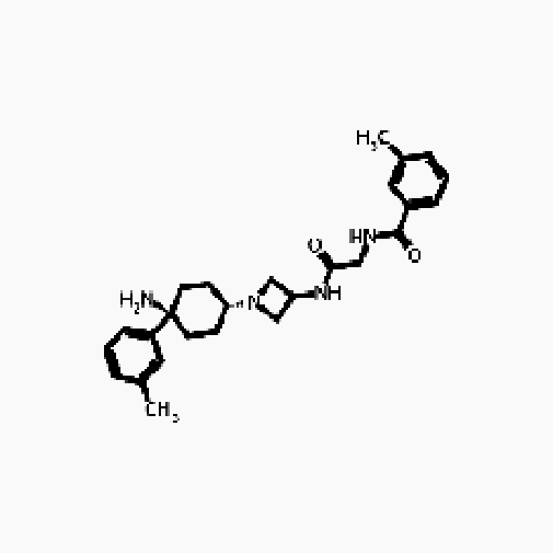 Cc1cccc(C(=O)NCC(=O)NC2CN([C@H]3CC[C@@](N)(c4cccc(C)c4)CC3)C2)c1